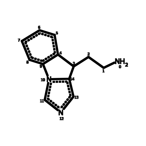 NCCC1c2ccccc2-n2cncc21